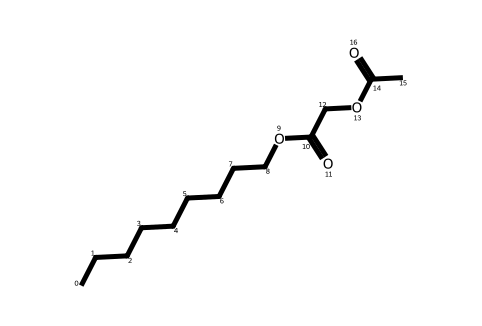 CCCCCCCCCOC(=O)COC(C)=O